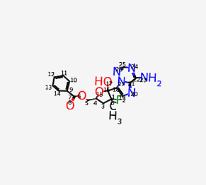 C[C@@]1(F)C[C@@H](COC(=O)c2ccccc2)OC1(O)c1cnc2c(N)ncnn12